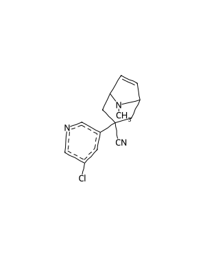 CN1C2C=CC1CC(C#N)(c1cncc(Cl)c1)C2